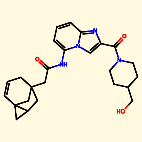 O=C(CC12CC=CC3(CC3C1)C2)Nc1cccc2nc(C(=O)N3CCC(CO)CC3)cn12